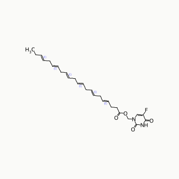 CC/C=C/C/C=C/C/C=C/C/C=C/C/C=C/C/C=C/CCC(=O)OCn1cc(F)c(=O)[nH]c1=O